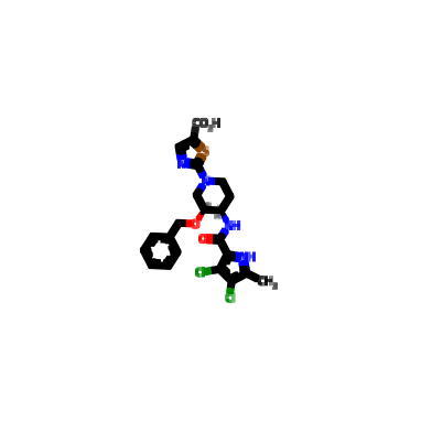 Cc1[nH]c(C(=O)N[C@@H]2CCN(c3ncc(C(=O)O)s3)C[C@@H]2OCc2ccccc2)c(Cl)c1Cl